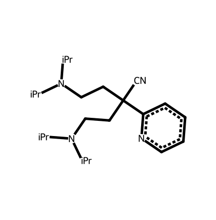 CC(C)N(CCC(C#N)(CCN(C(C)C)C(C)C)c1ccccn1)C(C)C